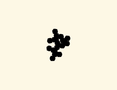 c1ccc(-c2cc(-c3ccccc3)c3sc4c(-c5ccc6c(c5)c5cc(-c7cc(-c8ccccc8)cc8c7sc7c(-c9ccccc9)cc(-c9ccccc9)cc78)ccc5n6-c5cccc(-c6c7ccccc7c(-c7ccccc7)c7ccccc67)c5)cc(-c5ccccc5)cc4c3c2)cc1